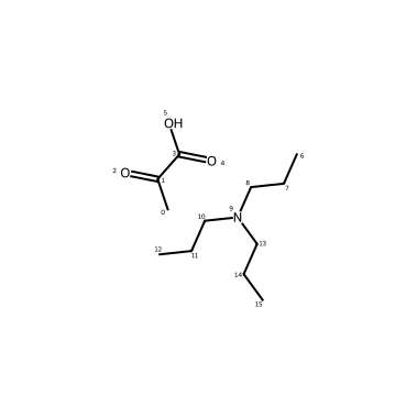 CC(=O)C(=O)O.CCCN(CCC)CCC